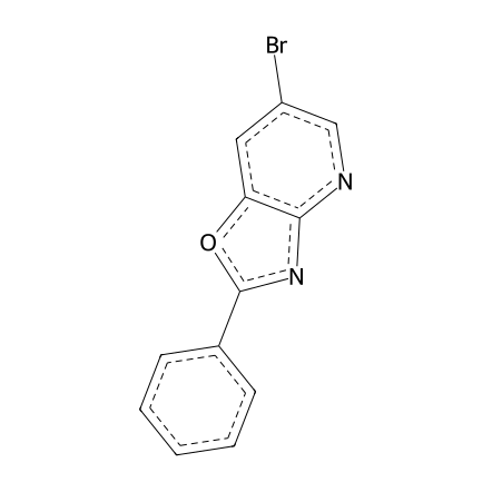 Brc1cnc2nc(-c3ccccc3)oc2c1